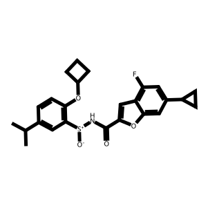 CC(C)c1ccc(OC2CCC2)c([S+]([O-])NC(=O)c2cc3c(F)cc(C4CC4)cc3o2)c1